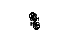 O=P1(NCCNP2(=O)OCCCO2)OCCCO1